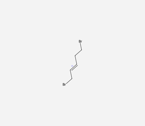 BrC/C=C/CCBr